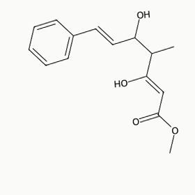 COC(=O)C=C(O)C(C)C(O)C=Cc1ccccc1